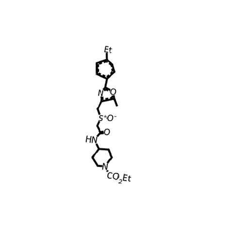 CCOC(=O)N1CCC(NC(=O)C[S+]([O-])Cc2nc(-c3ccc(CC)cc3)oc2C)CC1